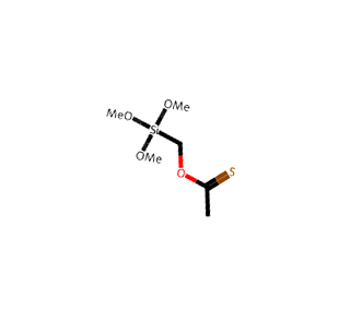 CO[Si](COC(C)=S)(OC)OC